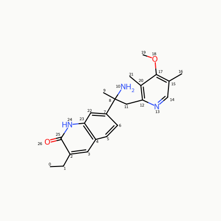 CCc1cc2ccc(C(C)(N)Cc3ncc(C)c(OC)c3C)cc2[nH]c1=O